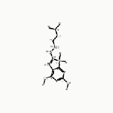 COc1cc(OC)c2c(c1)S(C)(C)C(SNCCC(C)C)=N2